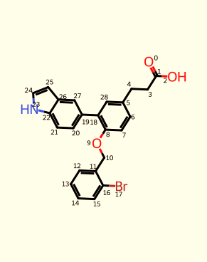 O=C(O)CCc1ccc(OCc2ccccc2Br)c(-c2ccc3[nH]ccc3c2)c1